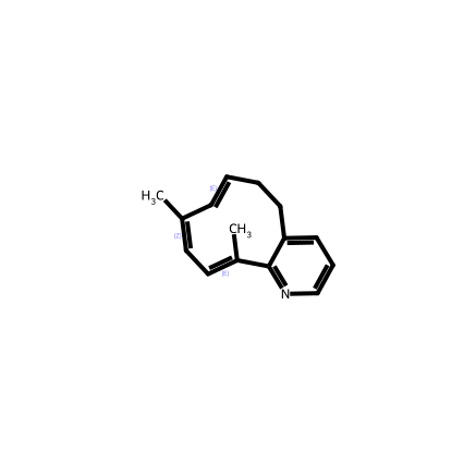 CC1=C/C=C(\C)c2ncccc2CC\C=C\1